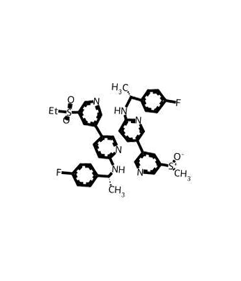 CCS(=O)(=O)c1cncc(-c2ccc(N[C@H](C)c3ccc(F)cc3)nc2)c1.C[C@@H](Nc1ccc(-c2cncc([S+](C)[O-])c2)cn1)c1ccc(F)cc1